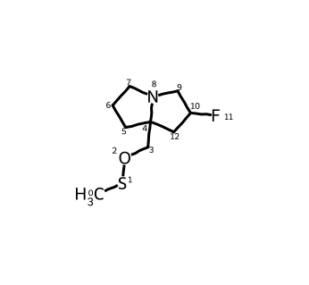 CSOCC12CCCN1CC(F)C2